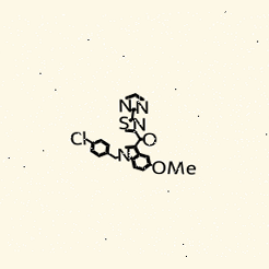 COc1ccc2c(c1)c(C(=O)c1csc(-c3ncccn3)n1)cn2Cc1ccc(Cl)cc1